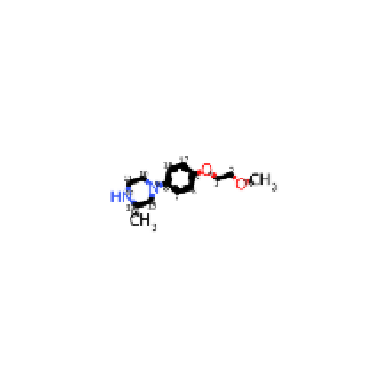 COCCOc1ccc(N2CCN[C@@H](C)C2)cc1